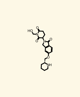 O=C1CCC(N2Cc3cc(OC[C@@H]4CCCCN4)ccc3C2=O)C(=O)N1CO